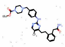 CC(C)(C)OC(=O)N1CCN(Cc2ccc(Nc3ncc(C(F)(F)F)c(CCc4ccccc4CC(N)=O)n3)cc2)CC1